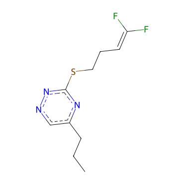 CCCc1cnnc(SCCC=C(F)F)n1